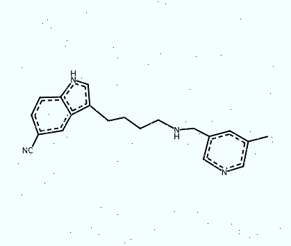 Cc1cncc(CNCCCCc2c[nH]c3ccc(C#N)cc23)c1